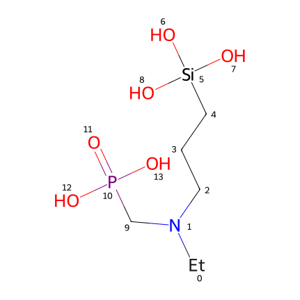 CCN(CCC[Si](O)(O)O)CP(=O)(O)O